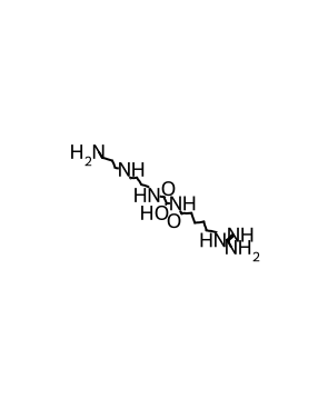 N=C(N)NCCCCCC(=O)NC(O)C(=O)NCCCCNCCCN